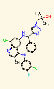 CC(C)(O)Cn1cc(C(Nc2cc(Cl)c3ncc(C#N)c(Nc4ccc(F)c(Cl)c4)c3c2)c2ccccc2)nn1